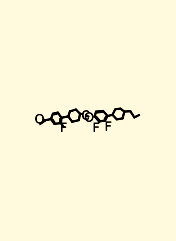 CCCC1CCC(c2ccc(OCC3CCC(c4ccc(C5CO5)cc4F)CC3)c(F)c2F)CC1